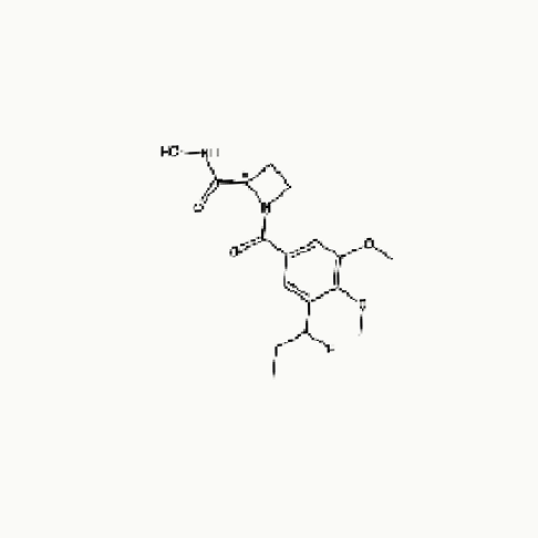 CCC(F)c1cc(C(=O)N2CC[C@@H]2C(=O)NO)cc(OC)c1OC